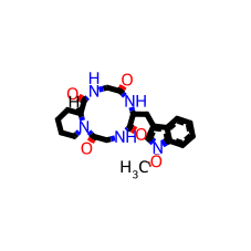 COn1cc(CC2NC(=O)CNC(=O)[C@H]3CCCCN3C(=O)CNC2=O)c2ccccc21